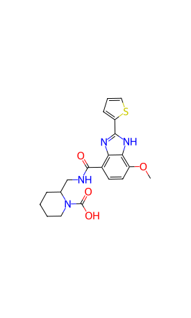 COc1ccc(C(=O)NCC2CCCCN2C(=O)O)c2nc(-c3cccs3)[nH]c12